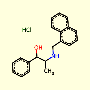 CC(NCc1cccc2ccccc12)C(O)c1ccccc1.Cl